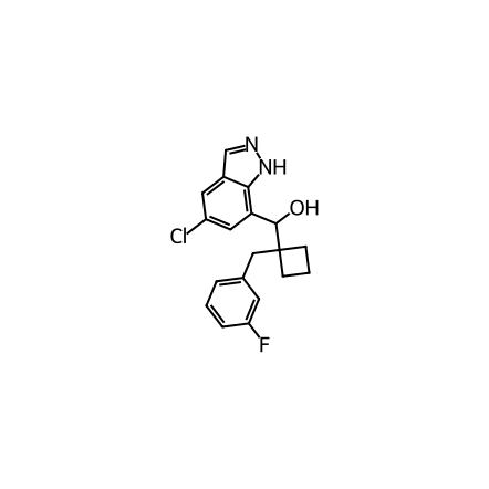 OC(c1cc(Cl)cc2cn[nH]c12)C1(Cc2cccc(F)c2)CCC1